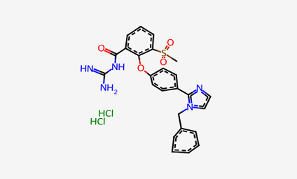 CS(=O)(=O)c1cccc(C(=O)NC(=N)N)c1Oc1ccc(-c2nccn2Cc2ccccc2)cc1.Cl.Cl